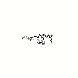 CCCCCCCCC(O)CNCCCN(C)C